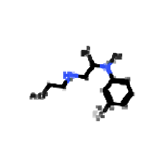 CC(=O)OCCNCC(C(C)C)N(C(C)=O)c1cccc(C(F)(F)F)c1